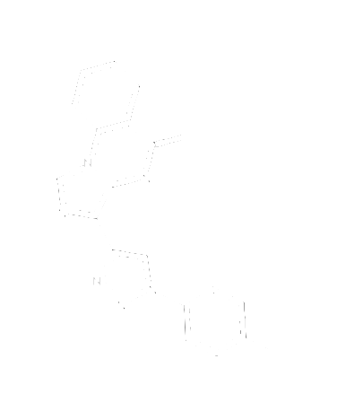 Cn1c(=O)c2ccccc2n2cnc(-c3cn(-c4ccc(F)cc4)nn3)c12